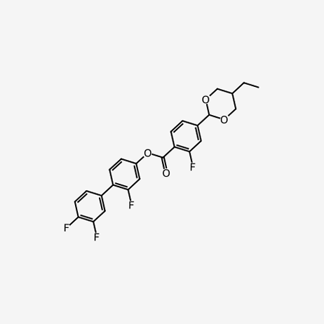 CCC1COC(c2ccc(C(=O)Oc3ccc(-c4ccc(F)c(F)c4)c(F)c3)c(F)c2)OC1